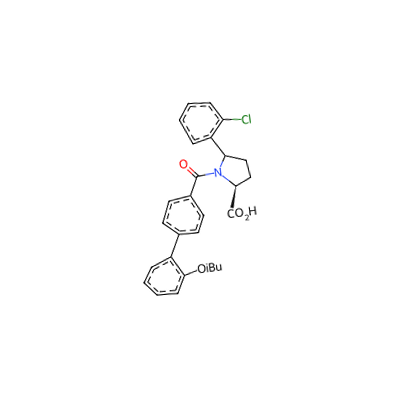 CC(C)COc1ccccc1-c1ccc(C(=O)N2C(c3ccccc3Cl)CC[C@H]2C(=O)O)cc1